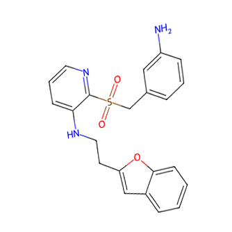 Nc1cccc(CS(=O)(=O)c2ncccc2NCCc2cc3ccccc3o2)c1